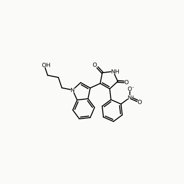 O=C1NC(=O)C(c2cn(CCCO)c3ccccc23)=C1c1ccccc1[N+](=O)[O-]